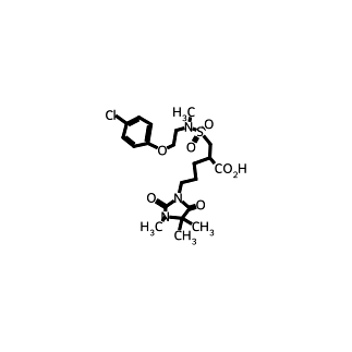 CN1C(=O)N(CCCC(CS(=O)(=O)N(C)CCOc2ccc(Cl)cc2)C(=O)O)C(=O)C1(C)C